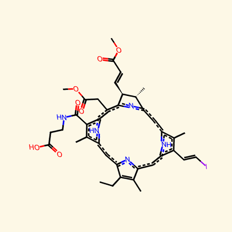 CCC1=C(C)c2cc3[nH]c(cc4nc(c(CC(=O)OC)c5[nH]c(cc1n2)c(C)c5C(=O)NCCC(=O)O)[C@@H](/C=C/C(=O)OC)[C@@H]4C)c(C)c3/C=C/I